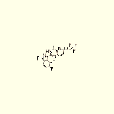 CC(NC(=O)c1nn(F)c2ccc(F)c(F)c12)c1cccc(OCC(F)(F)F)n1